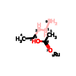 BBBCC.CC(=O)O.[Ru]